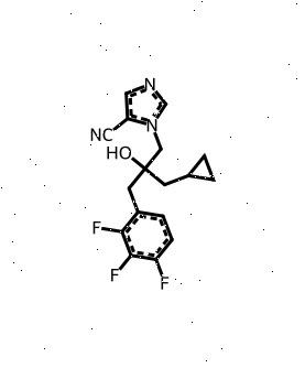 N#Cc1cncn1CC(O)(Cc1ccc(F)c(F)c1F)CC1CC1